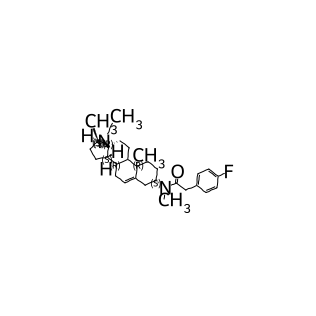 C[C@H]1[C@H]2CC[C@H]3[C@@H]4CC=C5C[C@@H](N(C)C(=O)Cc6ccc(F)cc6)CC[C@]5(C)C4CC[C@]23CN1C